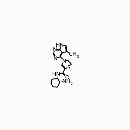 Cc1c[nH]c2ncnc(N3C=C(C(=O)N[C@H]4CCCC[C@H]4N)SCC3)c12